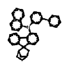 c1ccc(-c2cccc(N(c3cccc4c3-c3ccccc3C43CC4CCC3C4)c3cccc4ccccc34)c2)cc1